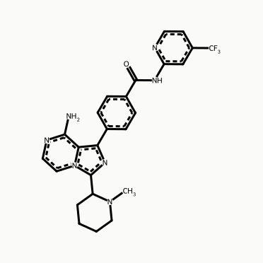 CN1CCCCC1c1nc(-c2ccc(C(=O)Nc3cc(C(F)(F)F)ccn3)cc2)c2c(N)nccn12